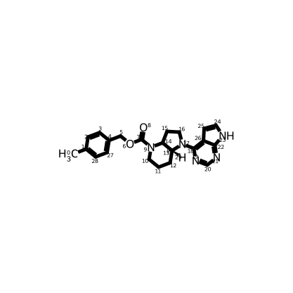 Cc1ccc(COC(=O)N2CCC[C@@H]3C2CCN3c2ncnc3[nH]ccc23)cc1